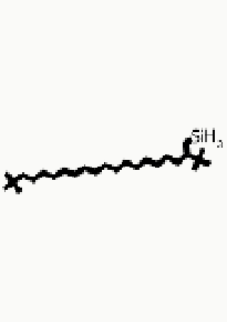 CC(C)(C)CCCCCCCCCCCCCCCCC(C[SiH3])C(C)(C)C